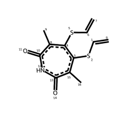 C=CSc1c(SC=C)c(C)c(=O)[nH]c(=O)c1C